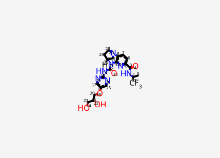 CC(NC(=O)c1ccc2c(n1)N(C(=O)Nc1ncc(OCC(O)CO)cn1)[C@H]1CCN2C1)C(F)(F)F